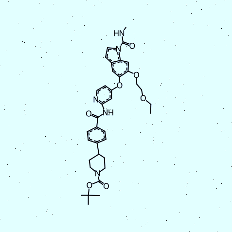 CCOCCOc1cc2c(ccn2C(=O)NC)cc1Oc1ccnc(NC(=O)c2ccc(C3CCN(C(=O)OC(C)(C)C)CC3)cc2)c1